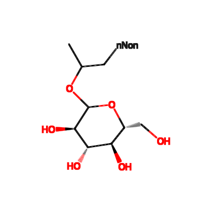 CCCCCCCCCCC(C)OC1O[C@H](CO)[C@@H](O)[C@H](O)[C@H]1O